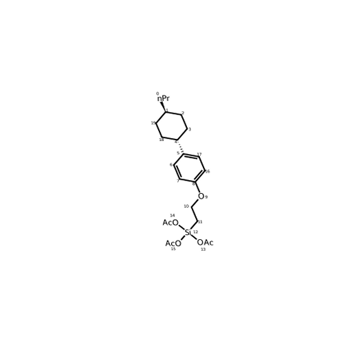 CCC[C@H]1CC[C@H](c2ccc(OCC[Si](OC(C)=O)(OC(C)=O)OC(C)=O)cc2)CC1